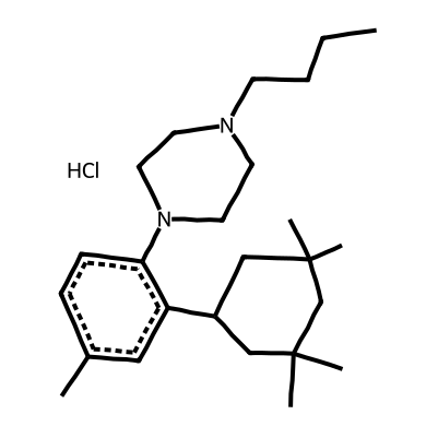 CCCCN1CCN(c2ccc(C)cc2C2CC(C)(C)CC(C)(C)C2)CC1.Cl